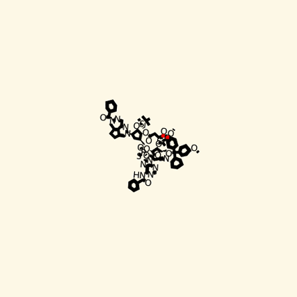 COc1ccc(C(OC[C@H]2O[C@@H](n3cnc4c(NC(=O)c5ccccc5)ncnc43)[C@H](OP(=S)(OCCC#N)OC[C@H]3C[C@@H](N4C=C5CCC6=C5C(=N4)C=NN(C(=O)c4ccccc4)C6)[C@H](O[Si](C)(C)C(C)(C)C)[C@@H]3OC(=O)CCC(C)=O)[C@@H]2O[Si](C)(C)C(C)(C)C)(c2ccccc2)c2ccc(OC)cc2)cc1